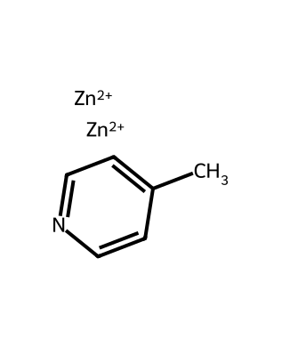 Cc1ccncc1.[Zn+2].[Zn+2]